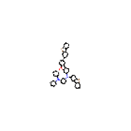 c1ccc(N(c2ccccc2)c2cccc(N(c3ccc4c(c3)oc3ccc(-c5ccc6c(c5)sc5ccccc56)cc34)c3ccc4sc5ccccc5c4c3)c2)cc1